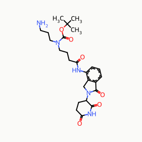 CC(C)(C)OC(=O)N(CCCN)CCCC(=O)Nc1cccc2c1CN(C1CCC(=O)NC1=O)C2=O